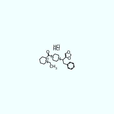 CCN1CCCC[C@H]1C(=O)N1CCN(C(Cc2ccccc2)C2=COCO2)CC1.Cl.Cl